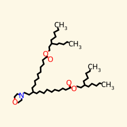 CCCCCC(CCCCC)CCOC(=O)CCCCCCCCCC(CCCCCCCCCC(=O)OCCC(CCCCC)CCCCC)CCN1CCOCC1